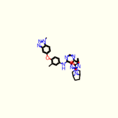 C=CC(=O)N1CC2CCC(C1)N2c1ncc2ncnc(Nc3ccc(Oc4ccc5c(c4)nnn5C)c(C)c3)c2n1